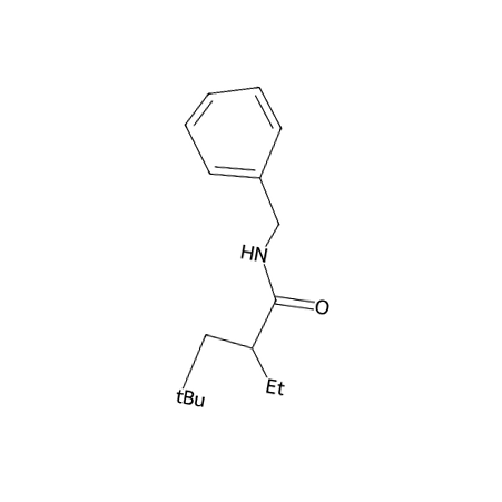 CCC(CC(C)(C)C)C(=O)NCc1ccccc1